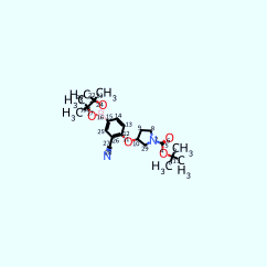 CC(C)(C)OC(=O)N1CCC(Oc2ccc(B3OC(C)(C)C(C)(C)O3)cc2C#N)C1